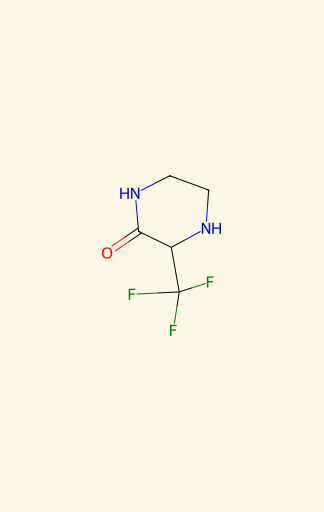 O=C1NCCNC1C(F)(F)F